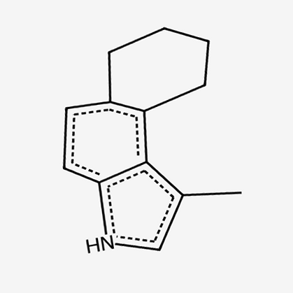 Cc1c[nH]c2ccc3c(c12)CCCC3